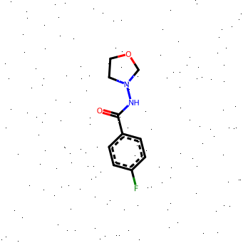 O=C(NN1CCOC1)c1ccc(F)cc1